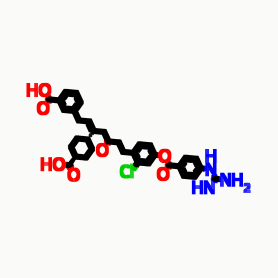 N=C(N)Nc1ccc(C(=O)Oc2ccc(CCC(=O)C/C(=C/Cc3cccc(C(=O)O)c3)[C@H]3CC[C@H](C(=O)O)CC3)c(Cl)c2)cc1